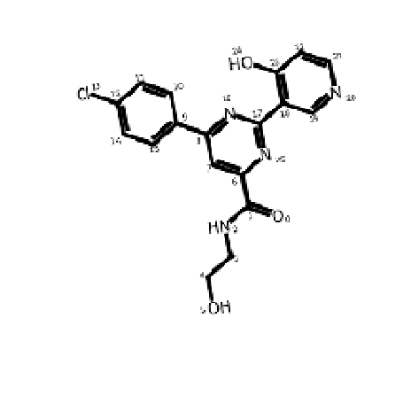 O=C(NCCO)c1cc(-c2ccc(Cl)cc2)nc(-c2cnccc2O)n1